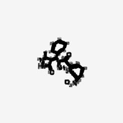 CC1=NNC(=O)C1=C(c1ccccc1)N(N)C(=O)c1cccc([N+](=O)[O-])c1